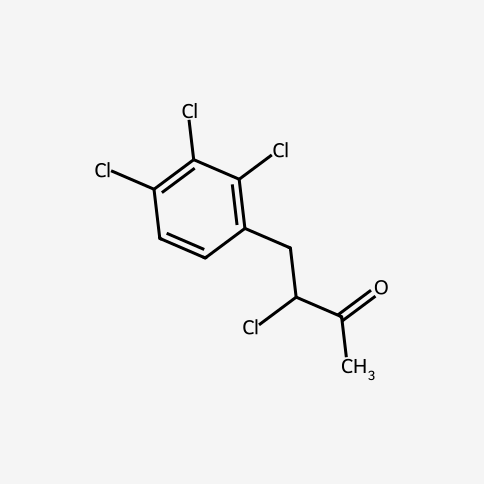 CC(=O)C(Cl)Cc1ccc(Cl)c(Cl)c1Cl